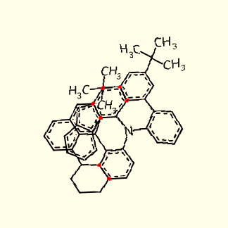 CC(C)(C)c1cc(-c2ccccc2N(c2ccccc2-c2cccc3cccc(C4CCCCC4)c23)c2cccc3sc4ccccc4c23)cc(C(C)(C)C)c1